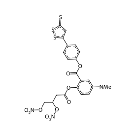 CNc1ccc(OC(=O)CC(CO[N+](=O)[O-])O[N+](=O)[O-])c(C(=O)Oc2ccc(-c3cc(=S)ss3)cc2)c1